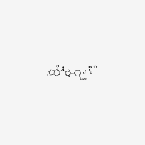 COc1cc(-c2nnc(Nc3ccc4[nH]ncc4c3Cl)o2)ccc1OCC(=O)NC(C)C